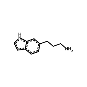 NCCCc1ccc2cc[nH]c2c1